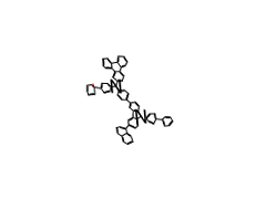 c1ccc(-c2ccc(N(c3ccc(-c4ccc5c(c4)c4cc(-c6cccc7ccccc67)ccc4n5-c4ccc(-c5ccccc5)cc4)cc3)c3ccc4c5ccccc5c5ccccc5c4c3)cc2)cc1